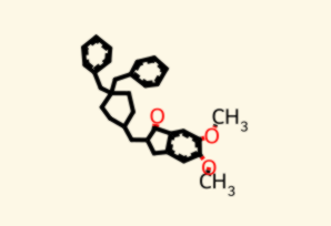 COc1cc2c(cc1OC)C(=O)C(CC1CCC(Cc3ccccc3)(Cc3ccccc3)CC1)C2